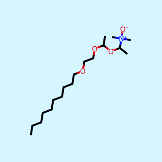 CCCCCCCCCCOCCOC(C)OC(C)[N+](C)(C)[O-]